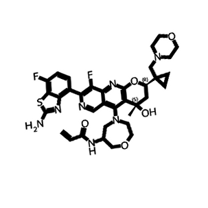 C=CC(=O)NC1COCCN(c2c3c(nc4c(F)c(-c5ccc(F)c6sc(N)nc56)ncc24)O[C@@H](C2(CN4CCOCC4)CC2)C[C@]3(C)O)C1